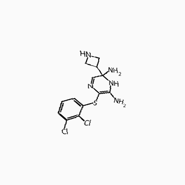 NC1=C(Sc2cccc(Cl)c2Cl)N=CC(N)(C2CNC2)N1